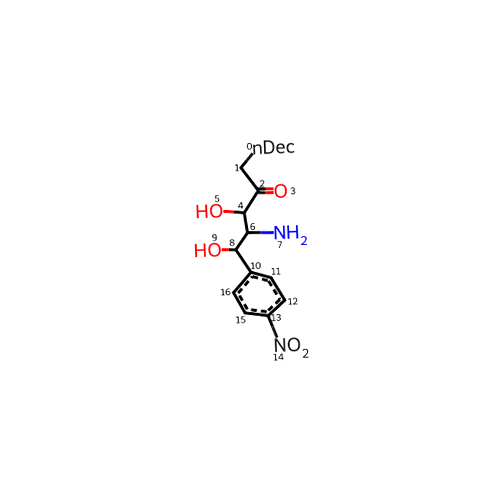 CCCCCCCCCCCC(=O)C(O)C(N)C(O)c1ccc([N+](=O)[O-])cc1